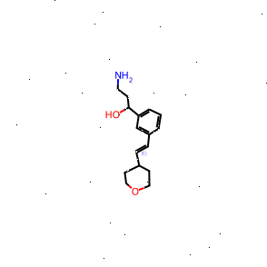 NCCC(O)c1cccc(/C=C/C2CCOCC2)c1